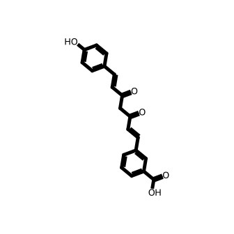 O=C(C=Cc1ccc(O)cc1)CC(=O)C=Cc1cccc(C(=O)O)c1